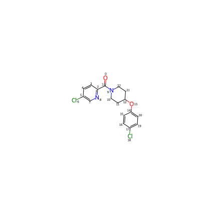 O=C(c1ccc(Cl)cn1)N1CCC(Oc2ccc(Cl)cc2)CC1